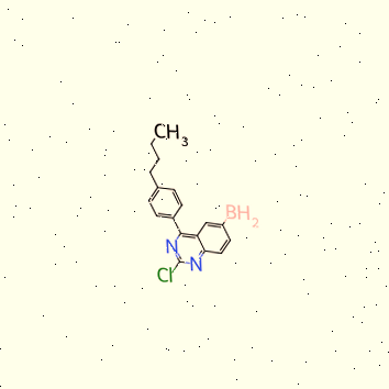 Bc1ccc2nc(Cl)nc(-c3ccc(CCCC)cc3)c2c1